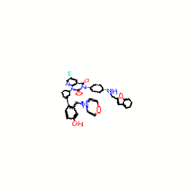 O=c1c2cc(F)cnc2n(-c2cccc(-c3ccc(O)cc3CN3CCOCC3)c2)c(=O)n1[C@H]1CC[C@@H](NCc2cc3ccccc3o2)CC1